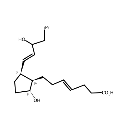 CC(C)CC(O)C=C[C@@H]1CC[C@@H](O)[C@@H]1CCC=CCCC(=O)O